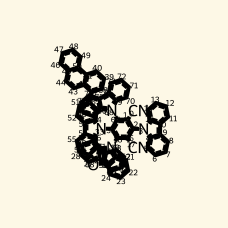 N#Cc1c(-n2c3ccccc3c3ccccc32)c(C#N)c(-n2c3ccccc3c3ccccc32)c(-n2c3cc(-c4cccc5c4ccc4ccccc45)ccc3c3ccc4oc5ccccc5c4c32)c1-n1c2ccccc2c2ccccc21